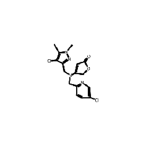 Cc1c(Cl)c(CN(Cc2ccc(Cl)cn2)C2=CC(=O)OC2)nn1C